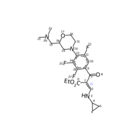 CCOC(=O)/C(=C\NC1CC1)C(=O)c1cc(F)c(N2CCOC(CN(C)C)C2)c(F)c1F